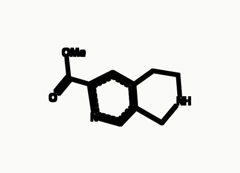 COC(=O)c1cc2c(cn1)CNCC2